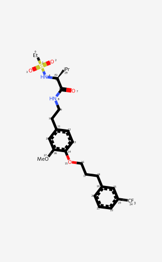 CCS(=O)(=O)N[C@H](C(=O)NCCc1ccc(OCCCc2cccc(C(F)(F)F)c2)c(OC)c1)C(C)C